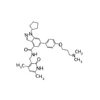 Cc1cc(C)c(CNC(=O)c2cc(-c3ccc(OCCCN(C)C)cc3)cc3c2cnn3C2CCCC2)c(=O)[nH]1